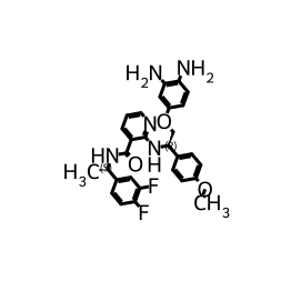 COc1ccc([C@H](COc2ccc(N)c(N)c2)Nc2ncccc2C(=O)N[C@@H](C)c2ccc(F)c(F)c2)cc1